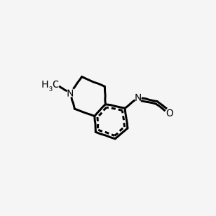 CN1CCc2c(cccc2N=C=O)C1